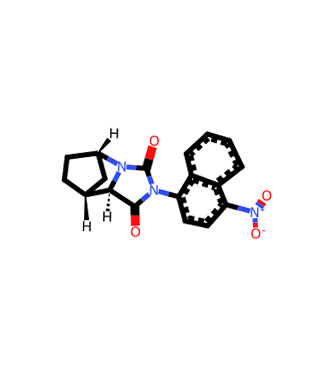 O=C1[C@H]2[C@@H]3CC[C@@H](C3)N2C(=O)N1c1ccc([N+](=O)[O-])c2ccccc12